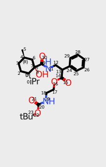 CC(C)[C@@H]1CC[C@@H](C)C[C@@]1(O)C(=O)NCC(C(=O)OCCNC(=O)OC(C)(C)C)c1ccccc1